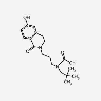 CC(C)(C)CN(CCCN1CCc2cc(O)ccc2C1=O)C(=O)O